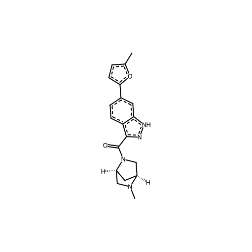 Cc1ccc(-c2ccc3c(C(=O)N4C[C@@H]5C[C@H]4CN5C)n[nH]c3c2)o1